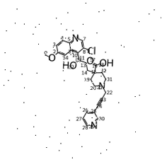 COc1ccc2ncc(Cl)c([C@@H](O)CCC3(C(=O)O)CCN(CC#Cc4cccnc4)CC3)c2c1